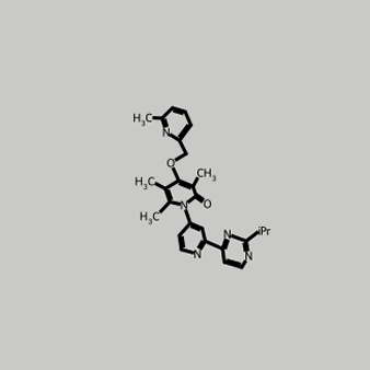 Cc1cccc(COc2c(C)c(C)n(-c3ccnc(-c4ccnc(C(C)C)n4)c3)c(=O)c2C)n1